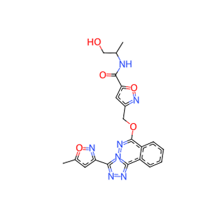 Cc1cc(-c2nnc3c4ccccc4c(OCc4cc(C(=O)NC(C)CO)on4)nn23)no1